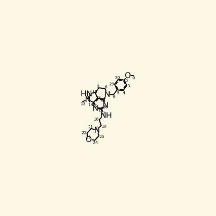 COc1ccc(CN2CCC3NN(C)c4nc(NCCN5CCOCC5)nc2c43)cc1